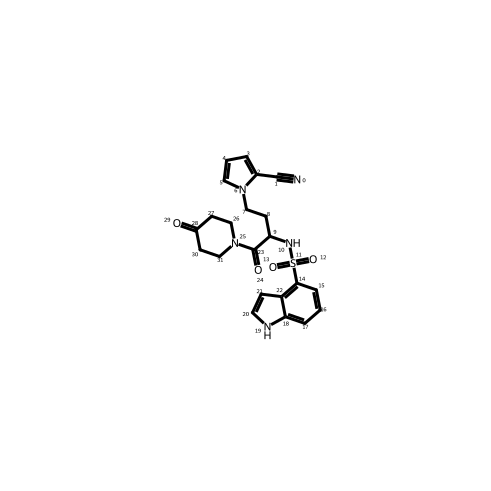 N#Cc1cccn1CCC(NS(=O)(=O)c1cccc2[nH]ccc12)C(=O)N1CCC(=O)CC1